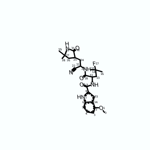 COc1cccc2[nH]c(C(=O)NC(CC(C)(C)F)C(=O)NC(C#N)CC3CC(C)(C)NC3=O)cc12